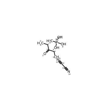 CCC(=O)CC.C[PH](O)(O)O.N#CC#N